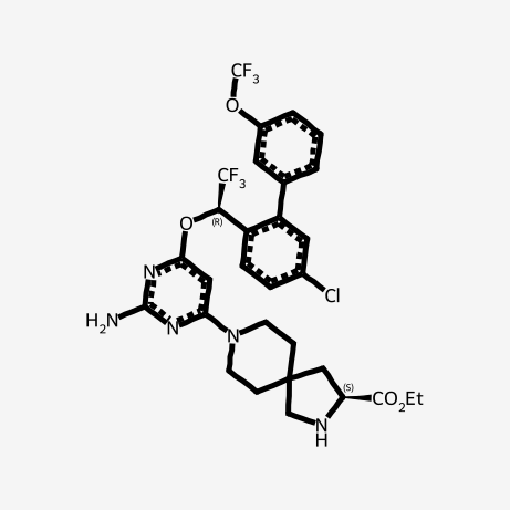 CCOC(=O)[C@@H]1CC2(CCN(c3cc(O[C@H](c4ccc(Cl)cc4-c4cccc(OC(F)(F)F)c4)C(F)(F)F)nc(N)n3)CC2)CN1